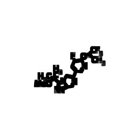 COC(C)(C)c1nnc2cnc(-c3cnc(O[C@H](C)C(F)(F)F)c(F)c3)cn12